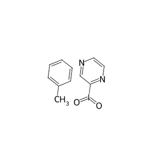 Cc1ccccc1.O=I(=O)c1cnccn1